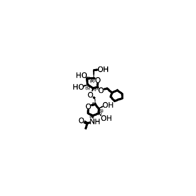 CC(=O)N[C@@H]1CO[C@H](CO[C@H]2[C@@H](OCC3CCCCC3)O[C@H](CO)[C@@H](O)[C@@H]2O)[C@@H](O)[C@@H]1O